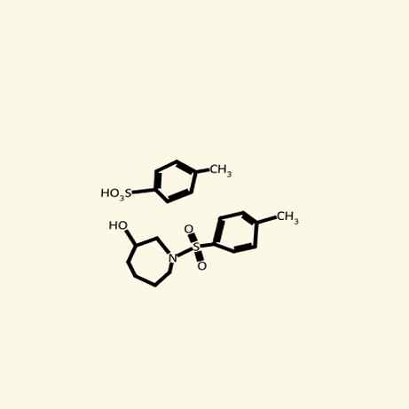 Cc1ccc(S(=O)(=O)N2CCCCC(O)C2)cc1.Cc1ccc(S(=O)(=O)O)cc1